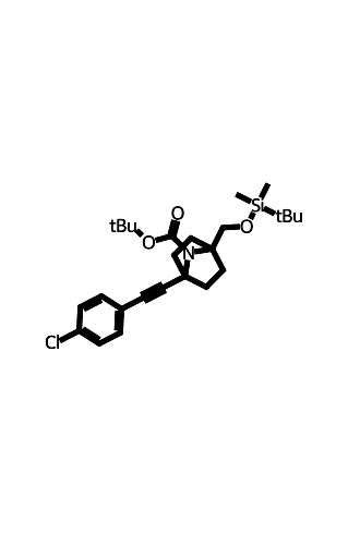 CC(C)(C)OC(=O)N1C2(C#Cc3ccc(Cl)cc3)CCC1(CO[Si](C)(C)C(C)(C)C)CC2